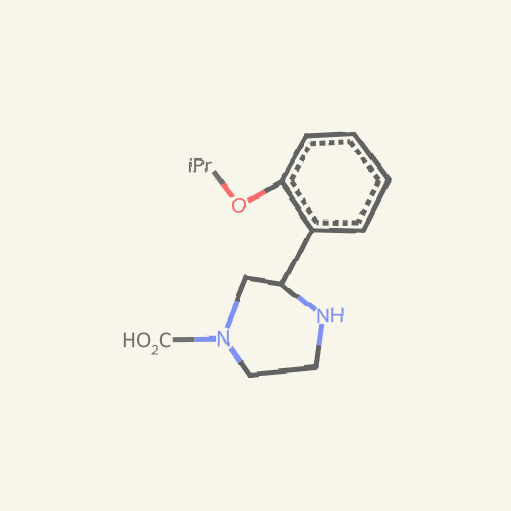 CC(C)Oc1ccccc1C1CN(C(=O)O)CCN1